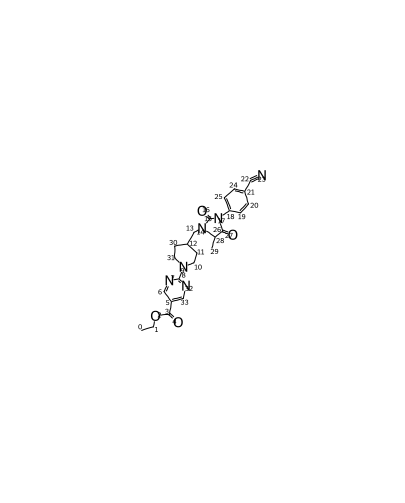 CCOC(=O)c1cnc(N2CCC(CN3C(=O)N(c4ccc(C#N)cc4)C(=O)C3C)CC2)nc1